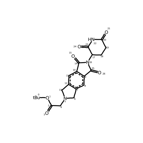 CC(C)(C)OC(=O)CN1Cc2cc3c(cc2C1)C(=O)N(C1CCC(=O)NC1=O)C3=O